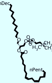 CCCCC/C=C\C/C=C\C/C=C\CCCCCCC(=O)O[C@H](COCCCCCCCCCCCCCCCCCCCC)COP(=O)([O-])OCC[N+](C)(C)C